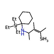 CC[Si](CC)(CC)C1(NC(C)C(C)=C(C)[SiH3])CCCCC1